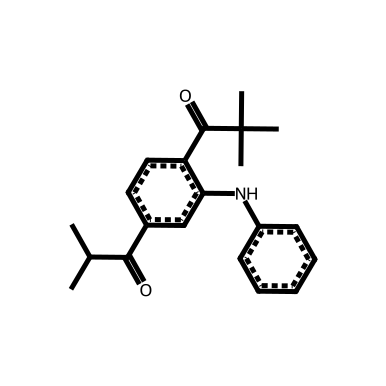 CC(C)C(=O)c1ccc(C(=O)C(C)(C)C)c(Nc2ccccc2)c1